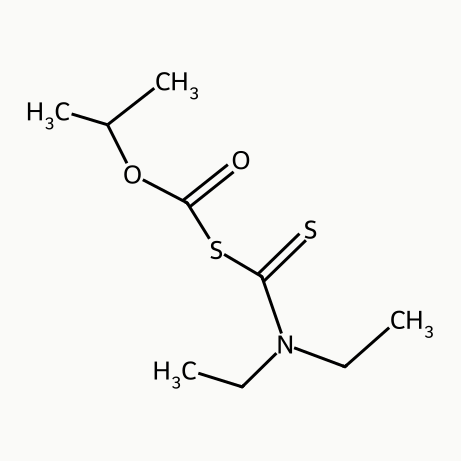 CCN(CC)C(=S)SC(=O)OC(C)C